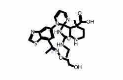 CCNC(=O)NC1(C2CNCCC2(C)C(=O)O)N=CC=CN1c1cc(/C(C)=N/OCCO)c2scnc2c1